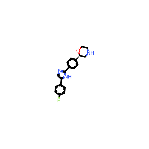 Fc1ccc(-c2cnc(-c3ccc([C@@H]4CNCCO4)cc3)[nH]2)cc1